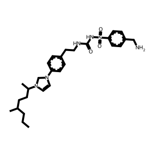 CCCC(C)CCC(C)N1C=CN(c2ccc(CCNC(=O)NS(=O)(=O)c3ccc(CN)cc3)cc2)C1